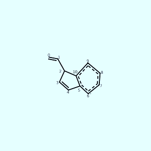 C=CC1C=Cc2[c]cccc21